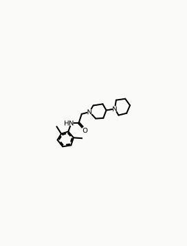 Cc1cccc(C)c1NC(=O)CN1CCC(N2CCCCC2)CC1